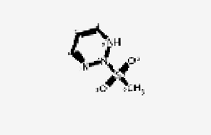 CS(=O)(=O)N1N=CC=CN1